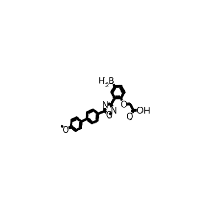 Bc1ccc(OCC(=O)O)c(-c2noc(-c3ccc(-c4ccc(OC)cc4)cc3)n2)c1